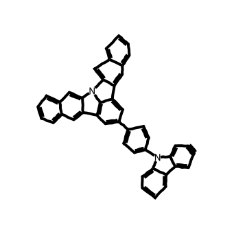 c1cc2c3ccccc3n(-c3ccc(-c4cc5c6cc7ccccc7cc6n6c7cc8ccccc8cc7c(c4)c56)cc3)c2cc#1